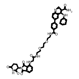 NC(=O)c1cnc2ccc(-c3ccc(C(=O)NCCOCCOCCNC(=O)CNc4cccc5c4C(=O)N(C4CCC(=O)NC4=O)C5=O)cc3)cc2c1Nc1ccccc1